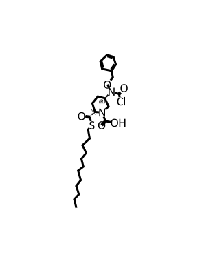 CCCCCCCCCCCCSC(=O)[C@@H]1CC[C@@H](N(OCc2ccccc2)C(=O)Cl)CN1C(=O)O